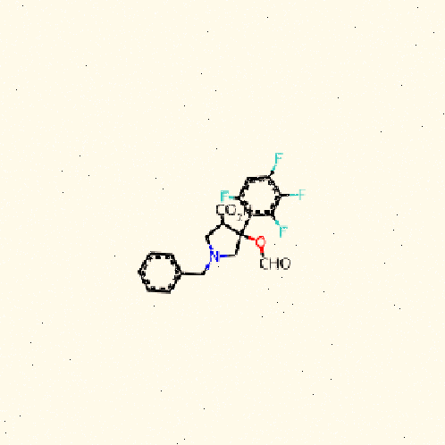 O=COC1(c2c(F)cc(F)c(F)c2F)CN(Cc2ccccc2)CC1C(=O)O